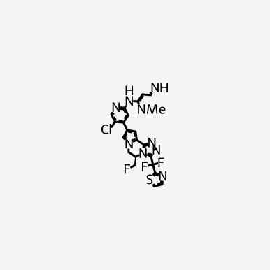 CN/C(=C\C=N)Nc1cc(-c2cc3n(c2)C[C@H](CF)n2c-3nnc2C(F)(F)c2nccs2)c(Cl)cn1